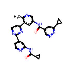 Cc1ncc(NC(=O)c2cnnc(C3CC3)c2)cc1-c1ccnc(-c2ccnc(NC(=O)C3CC3)c2)n1